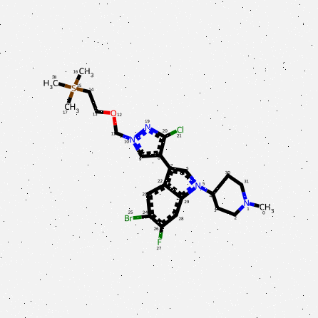 CN1CCC(n2cc(-c3cn(COCCS(C)(C)C)nc3Cl)c3cc(Br)c(F)cc32)CC1